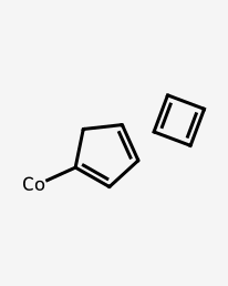 C1=CC=C1.[Co][C]1=CC=CC1